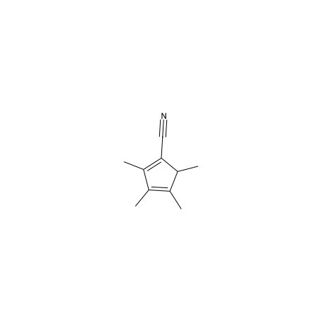 CC1=C(C)C(C)C(C#N)=C1C